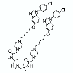 CC(C)(CN)NC(=O)CN1CCN(CCCCCOc2ccc3c(c2)ncn3-c2ccc(Cl)cc2)CC1.CC(C)N(C)C(=O)CN1CCN(CCCCCOc2ccc3c(c2)ncn3-c2ccc(Cl)cc2)CC1